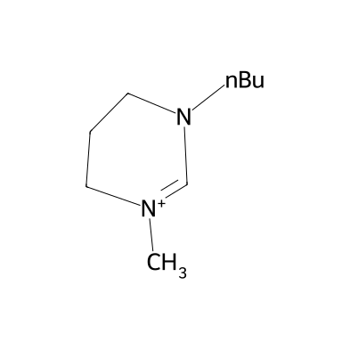 CCCCN1C=[N+](C)CCC1